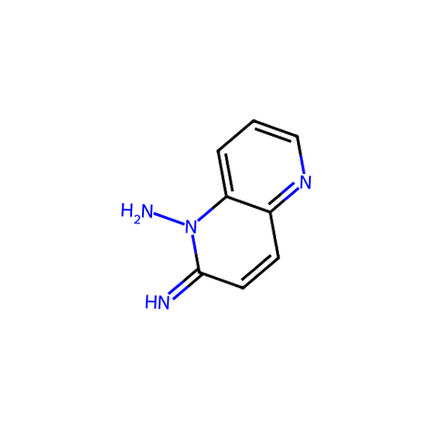 N=c1ccc2ncccc2n1N